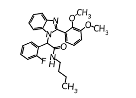 CCCCNC(=O)C(c1ccccc1F)n1c(-c2cccc(OC)c2OC)nc2ccccc21